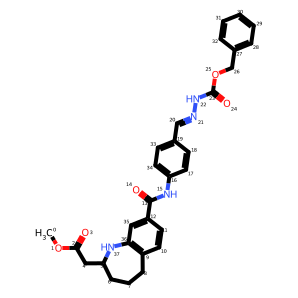 COC(=O)CC1CCCc2ccc(C(=O)Nc3ccc(C=NNC(=O)OCc4ccccc4)cc3)cc2N1